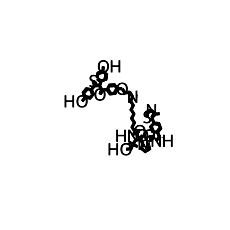 Cc1ncsc1-c1ccc([C@H](C)NC(=O)[C@@H]2CCCN2C(=O)[C@@H](NC(=O)CCCCCCCN(C)CCOc2ccc(C(=O)c3c(-c4ccc(O)cc4)sc4cc(O)ccc34)cc2)C(C)(C)CO)cc1